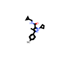 Cc1c(-c2ccc(C#N)cc2)nn(C2CCC2)c1C(=O)NCC1CC1